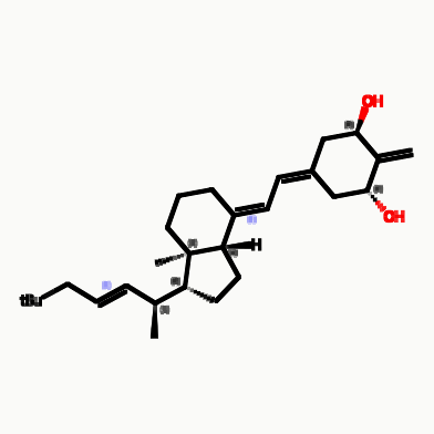 C=C1[C@H](O)CC(=C/C=C2\CCC[C@]3(C)[C@@H]([C@@H](C)/C=C/CC(C)(C)C)CC[C@@H]23)C[C@H]1O